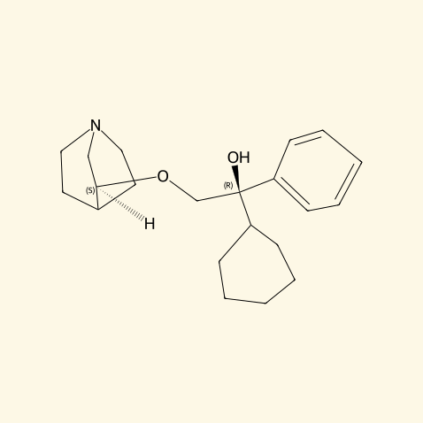 O[C@@](CO[C@@H]1CN2CCC1CC2)(c1ccccc1)C1CCCCC1